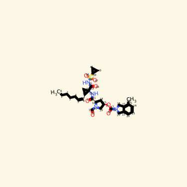 CCCCC/C=C\[C@@H]1C[C@]1(NC(=O)[C@@H]1C[C@@H](OC(=O)N2Cc3cccc(C)c3C2)CN1C=O)C(=O)NS(=O)(=O)C1CC1